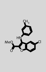 COC(=O)c1oc2ccc(Cl)cc2c1Nc1cccc(C)c1